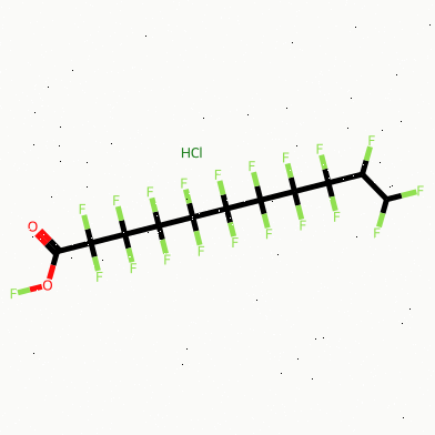 Cl.O=C(OF)C(F)(F)C(F)(F)C(F)(F)C(F)(F)C(F)(F)C(F)(F)C(F)(F)C(F)(F)C(F)C(F)F